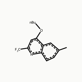 CCCCOc1cc(C(F)(F)F)nc2ccc(C)cc12